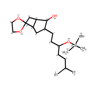 CCC(CC)CCC(CCC1CC2C(CC23OCCO3)C1O)O[Si](C)(C)C(C)(C)C